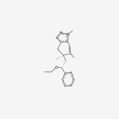 CCO[C@H](C[C@@]1(C)Cc2cnn(C)c2C=C1C)c1ccccc1